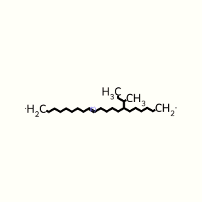 [CH2]CCCCCCC/C=C/CCCCC(CCCCC[CH2])C(C)CC